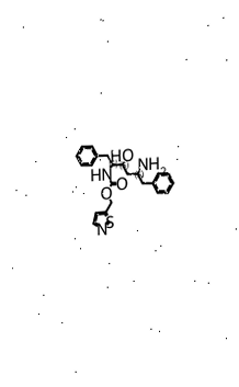 N[C@@H](Cc1ccccc1)C[C@H](O)[C@H](Cc1ccccc1)NC(=O)OCc1ccns1